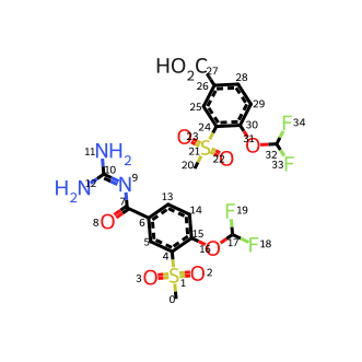 CS(=O)(=O)c1cc(C(=O)N=C(N)N)ccc1OC(F)F.CS(=O)(=O)c1cc(C(=O)O)ccc1OC(F)F